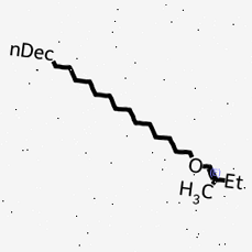 CCCCCCCCCCCCCCCCCCCCCCCCO/C=C(\C)CC